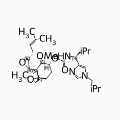 CO[C@@H]1[C@H](OC(=O)N[C@H](c2cn(CC(C)C)cn2)C(C)C)CC[C@]2(CO2)[C@H]1[C@@]1(C)O[C@@H]1CC=C(C)C